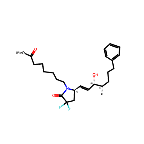 COC(=O)CCCCCCN1C(=O)C(F)(F)C[C@@H]1C=C[C@H](O)[C@@H](C)CCCc1ccccc1